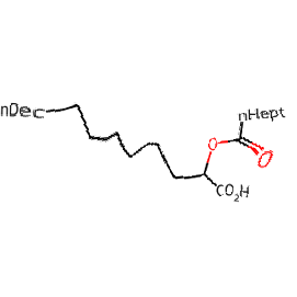 CCCCCCCCCCCCCCCCC(OC(=O)CCCCCCC)C(=O)O